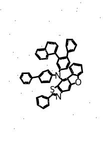 c1ccc(-c2ccc(N(c3ccc(-c4ccccc4)c(-c4cccc5ccccc45)c3)c3c4sc(-c5ccccc5)nc4cc4oc5ccccc5c34)cc2)cc1